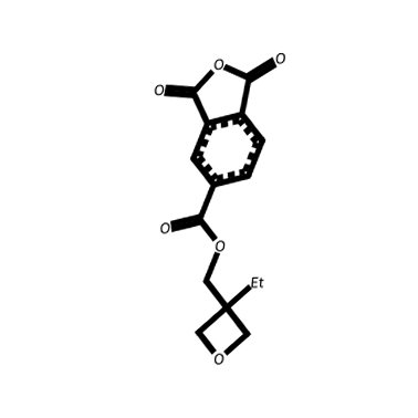 CCC1(COC(=O)c2ccc3c(c2)C(=O)OC3=O)COC1